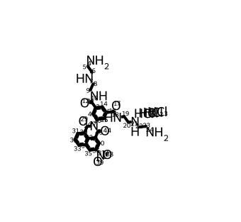 Cl.Cl.Cl.Cl.NCCNCCNC(=O)c1cc(C(=O)NCCNCCN)cc(N2C(=O)c3cccc4cc([N+](=O)[O-])cc(c34)C2=O)c1